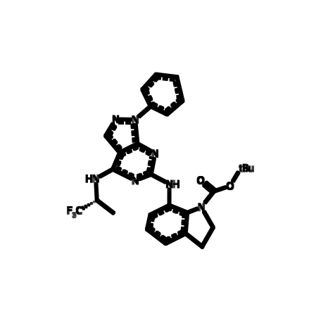 C[C@@H](Nc1nc(Nc2cccc3c2N(C(=O)OC(C)(C)C)CC3)nc2c1cnn2-c1ccccc1)C(F)(F)F